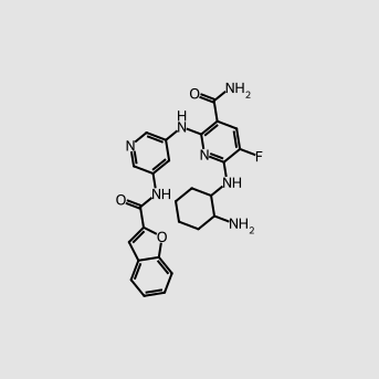 NC(=O)c1cc(F)c(NC2CCCCC2N)nc1Nc1cncc(NC(=O)c2cc3ccccc3o2)c1